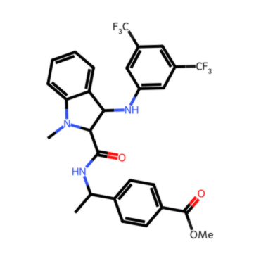 COC(=O)c1ccc(C(C)NC(=O)C2C(Nc3cc(C(F)(F)F)cc(C(F)(F)F)c3)c3ccccc3N2C)cc1